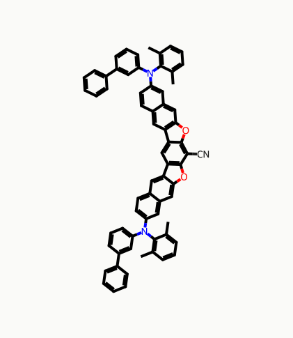 Cc1cccc(C)c1N(c1cccc(-c2ccccc2)c1)c1ccc2cc3c(cc2c1)oc1c(C#N)c2oc4cc5cc(N(c6cccc(-c7ccccc7)c6)c6c(C)cccc6C)ccc5cc4c2cc13